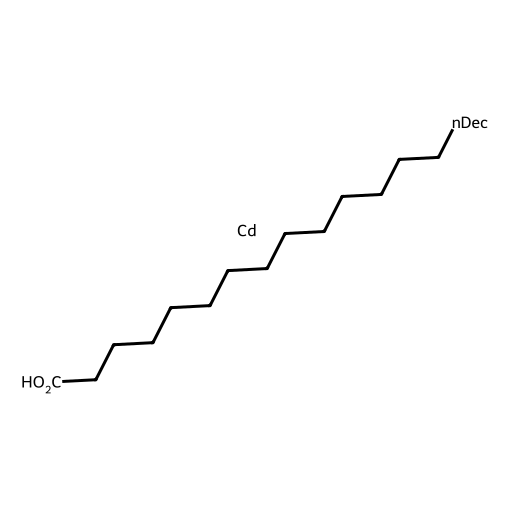 CCCCCCCCCCCCCCCCCCCCCCCC(=O)O.[Cd]